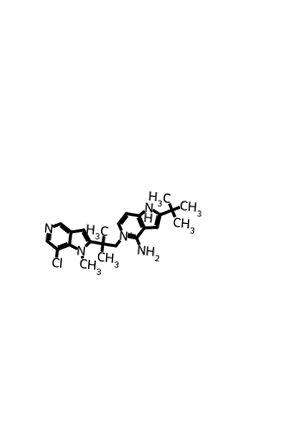 Cn1c(C(C)(C)C[n+]2ccc3[nH]c(C(C)(C)C)cc3c2N)cc2cncc(Cl)c21